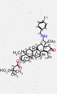 CC(=O)O[C@H](CNCc1ccc(F)cc1)[C@@]12CC[C@]3(C)[C@H](CC[C@@H]4[C@@]5(C)CC[C@H](OC(=O)CC(C)(C)C(=O)O)[C@H](C)[C@@H]5CC[C@]43C)C1=C(C(C)C)C(=O)C2